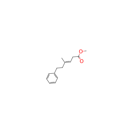 COC(=O)C/C=C(\C)CCc1ccccc1